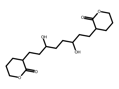 O=C1OCCCC1CCC(O)CCC(O)CCC1CCCOC1=O